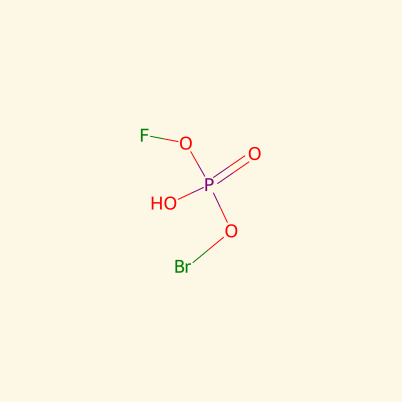 O=P(O)(OF)OBr